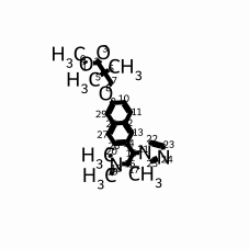 COC(=O)C(C)(C)COc1ccc2cc(C(C(C)N(C)C)n3ccnc3)ccc2c1